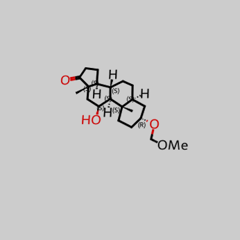 COCO[C@@H]1CC[C@@]2(C)[C@@H](CC[C@@H]3[C@@H]2[C@@H](O)C[C@]2(C)C(=O)CC[C@@H]32)C1